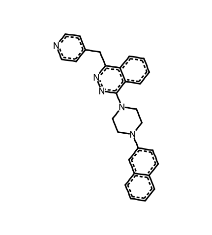 c1ccc2cc(N3CCN(c4nnc(Cc5ccncc5)c5ccccc45)CC3)ccc2c1